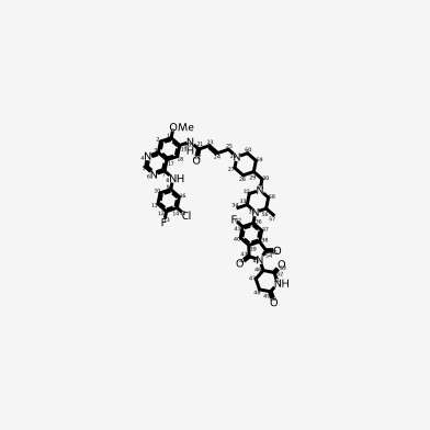 COc1cc2ncnc(Nc3ccc(F)c(Cl)c3)c2cc1NC(=O)/C=C/CN1CCC(CN2CC(C)N(c3cc4c(cc3F)C(=O)N(C3CCC(=O)NC3=O)C4=O)C(C)C2)CC1